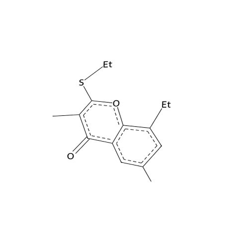 [CH2]Cc1cc(C)cc2c(=O)c(C)c(SCC)oc12